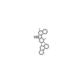 Cc1cc2[nH]c3cc4c(c(C)c3c2c2ccccc12)-c1cccc2c1c-4cc1ccccc12